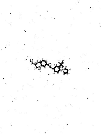 O=CC1=Cc2ccc(OCc3ccc(-n4cccc4)c(C(F)(F)F)c3)cc2OC1